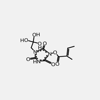 CC=C(C)C(=O)On1c(=O)[nH]c(=O)n(CC(O)(O)O)c1=O